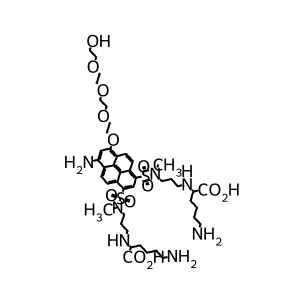 CN(CCCNC(CCCCN)C(=O)O)S(=O)(=O)c1cc(S(=O)(=O)N(C)CCCNC(CCCCN)C(=O)O)c2ccc3c(OCCOCCOCCOCCO)cc(N)c4ccc1c2c43